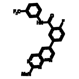 CNc1ncc2cc(-c3ccc(F)c(C(=O)Nc4cccc(C(F)(F)F)c4)c3)cnc2n1